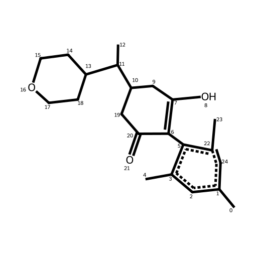 Cc1cc(C)c(C2=C(O)CC(C(C)C3CCOCC3)CC2=O)c(C)c1